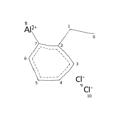 CCc1cccc[c]1[Al+2].[Cl-].[Cl-]